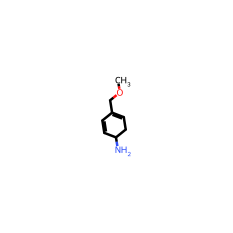 COCC1=CCC(N)C=C1